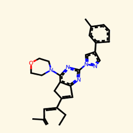 C=C(C)/C=C(\CC)C1=Cc2nc(-n3cc(-c4cccc(C)c4)cn3)nc(N3CCOCC3)c2C1